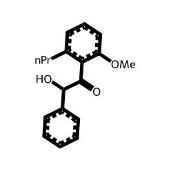 CCCc1cccc(OC)c1C(=O)C(O)c1ccccc1